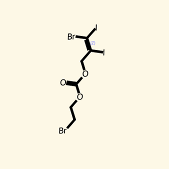 O=C(OCCBr)OC/C(I)=C(\Br)I